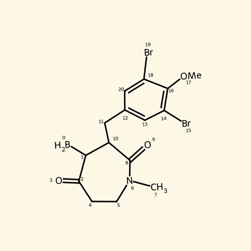 BC1C(=O)CCN(C)C(=O)C1Cc1cc(Br)c(OC)c(Br)c1